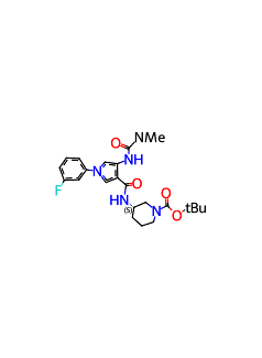 CNC(=O)Nc1cn(-c2cccc(F)c2)cc1C(=O)N[C@H]1CCCN(C(=O)OC(C)(C)C)C1